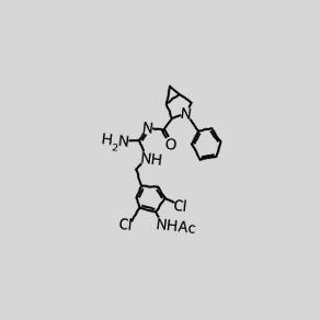 CC(=O)Nc1c(Cl)cc(CN/C(N)=N\C(=O)C2C3CC3CN2c2ccccc2)cc1Cl